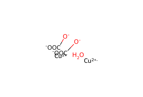 O.O=C([O-])[O-].O=C([O-])[O-].[Cu+2].[Cu+2]